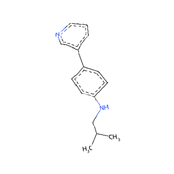 CC(C)CNc1ccc(-c2cccnc2)cc1